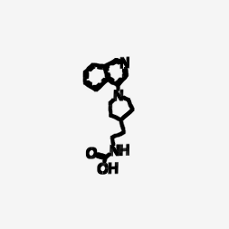 O=C(O)NCCC1CCN(c2cncc3ccccc23)CC1